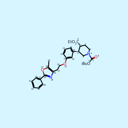 CCOC(=O)[C@H]1CCN(C(=O)OCC(C)C)C[C@H]1c1cccc(OCCc2nc(-c3ccccc3)oc2C)c1